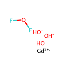 FOF.[Gd+3].[OH-].[OH-].[OH-]